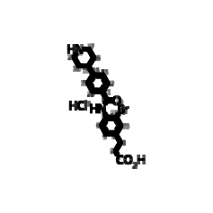 Cl.O=C(O)CCc1ccc(NC(=O)c2ccc(C3CCNCC3)cc2)c(Br)c1